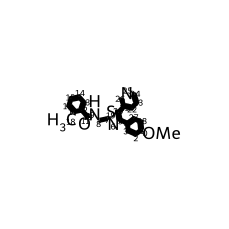 COc1ccc(-c2nc(CNC(=O)c3ccccc3C)sc2-c2cccnc2)cc1